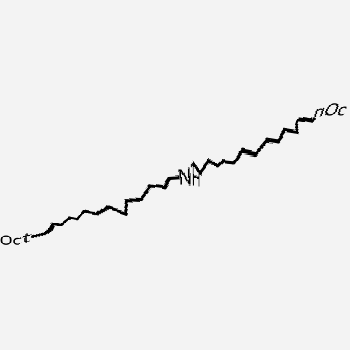 CCCCCCCCC=CCCCCCCCCCCCCNCCCCCCCCCCCCC=CCCCCCCCC